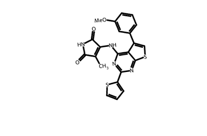 COc1cccc(-c2csc3nc(-c4cccs4)nc(NC4=C(C)C(=O)NC4=O)c23)c1